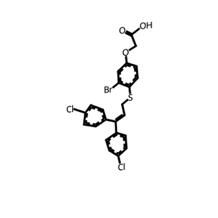 O=C(O)COc1ccc(SCC=C(c2ccc(Cl)cc2)c2ccc(Cl)cc2)c(Br)c1